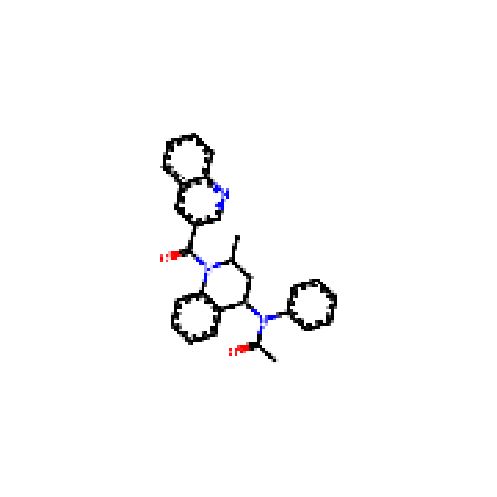 CC(=O)N(c1ccccc1)C1CC(C)N(C(=O)c2cnc3ccccc3c2)c2ccccc21